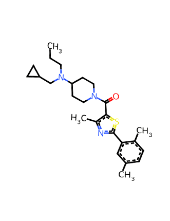 CCCN(CC1CC1)C1CCN(C(=O)c2sc(-c3cc(C)ccc3C)nc2C)CC1